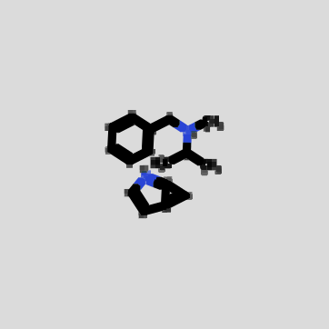 CC(C)N(C)Cc1ccccc1.c1cc2cc-2n1